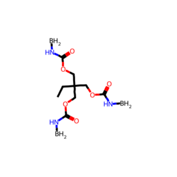 BNC(=O)OCC(CC)(COC(=O)NB)COC(=O)NB